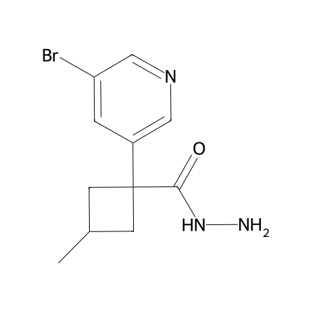 CC1CC(C(=O)NN)(c2cncc(Br)c2)C1